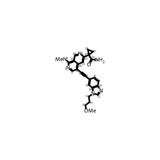 CNc1ncc(C#Cc2ccc3ncn(CCCOC)c3c2)c2cc(C3(C(N)=O)CC3)ncc12